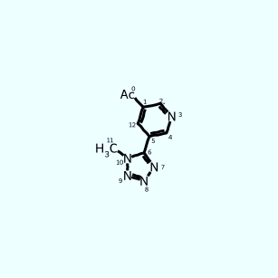 CC(=O)c1[c]ncc(-c2nnnn2C)c1